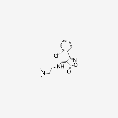 CN(C)CCN/C=C1\C(=O)ON=C1c1ccccc1Cl